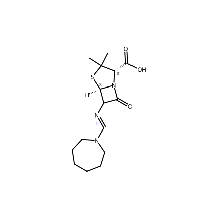 CC1(C)S[C@@H]2C(/N=C/N3CCCCCC3)C(=O)N2[C@H]1C(=O)O